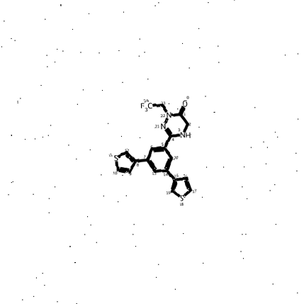 O=C1CNC(c2cc(-c3ccsc3)cc(-c3ccsc3)c2)=NN1CC(F)(F)F